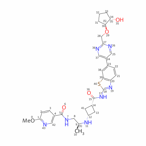 COc1ccc(C(=O)NC[C@H](C)N[C@H]2C[C@@H](C(=O)Nc3nc4ccc(-c5cnc(CO[C@H]6CCC[C@@H]6O)nc5)cc4s3)C2)cn1